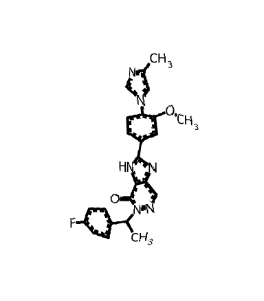 COc1cc(-c2nc3cnn(C(C)c4ccc(F)cc4)c(=O)c3[nH]2)ccc1-n1cnc(C)c1